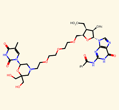 CC(=O)O[C@@H]1[C@H](CC(=O)O)[C@H](COCCOCCOCCN2C[C@H](n3cc(C)c(=O)[nH]c3=O)OC(CO)(CO)C2)O[C@H]1n1cnc2c(=O)[nH]c(NC(=O)C(C)C)nc21